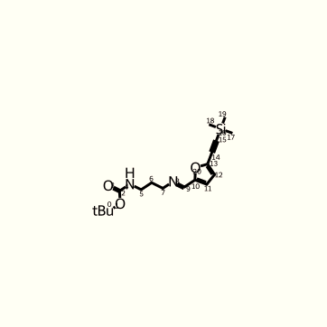 CC(C)(C)OC(=O)NCCCN=Cc1ccc(C#C[Si](C)(C)C)o1